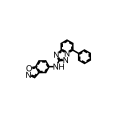 c1ccc(-c2cccc3nc(Nc4ccc5oncc5c4)nn23)cc1